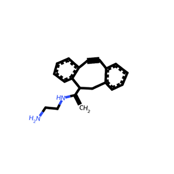 C=C(NCCN)C1Cc2ccccc2C#Cc2ccccc21